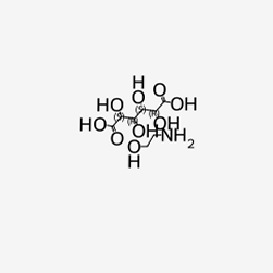 NCCO.O=C(O)[C@@H](O)[C@H](O)[C@H](O)[C@@H](O)C(=O)O